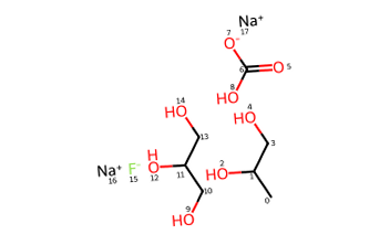 CC(O)CO.O=C([O-])O.OCC(O)CO.[F-].[Na+].[Na+]